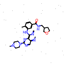 C=N/C(Nc1cc(C(=O)NCC2CCOC2)ccc1C)=C1/N=C(N2CCN(C)CC2)N=C/C1=N/C